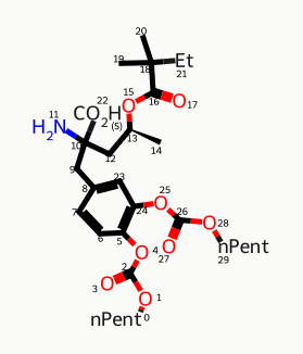 CCCCCOC(=O)Oc1ccc(CC(N)(C[C@H](C)OC(=O)C(C)(C)CC)C(=O)O)cc1OC(=O)OCCCCC